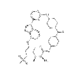 CC[C@H](C)[C@H](N)C(=O)OC1CCN(C(=O)C2CCC(Nc3nccc(-n4ccc5c(OCCCS(C)(=O)=O)cccc54)n3)CC2)CC1